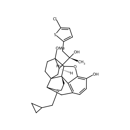 COC12CCC3(C[C@@H]1[C@@](C)(O)Cc1ccc(Cl)s1)C1Cc4ccc(O)c5c4[C@@]3(CCN1CC1CC1)[C@@H]2O5